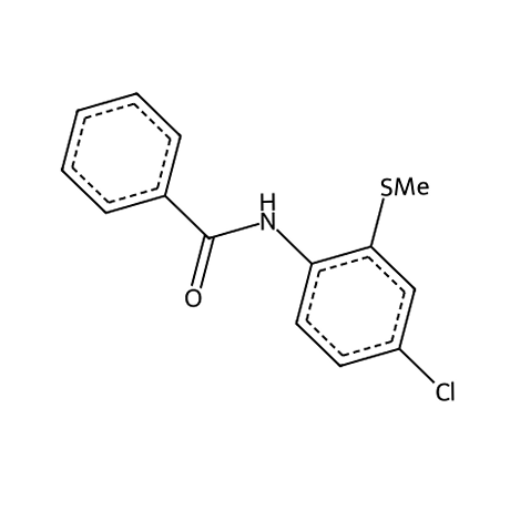 CSc1cc(Cl)ccc1NC(=O)c1ccccc1